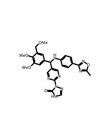 COCc1cc(C(Nc2ccc(-c3noc(C)n3)cc2)c2cnc(-n3nc[nH]c3=O)nc2)cc(OC)c1OC